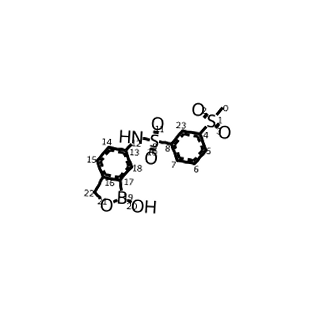 CS(=O)(=O)c1cccc(S(=O)(=O)Nc2ccc3c(c2)B(O)OC3)c1